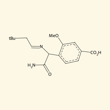 COc1cc(C(=O)O)ccc1C(/N=C/CC(C)(C)C)C(N)=O